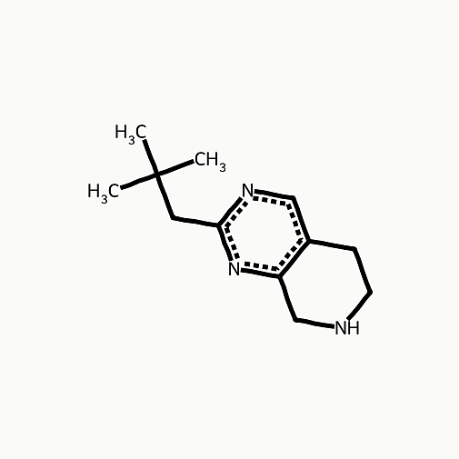 CC(C)(C)Cc1ncc2c(n1)CNCC2